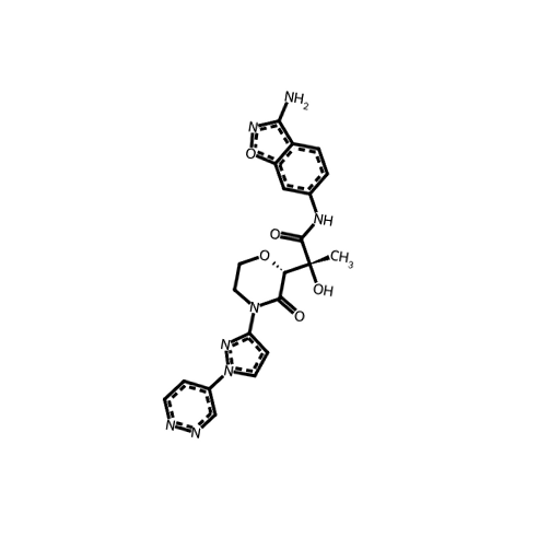 C[C@](O)(C(=O)Nc1ccc2c(N)noc2c1)[C@H]1OCCN(c2ccn(-c3ccnnc3)n2)C1=O